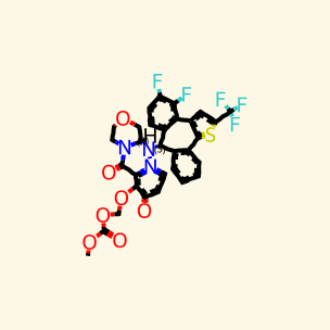 COC(=O)OCOc1c2n(ccc1=O)N([C@@H]1c3ccccc3-c3sc(C(F)(F)F)cc3-c3c1ccc(F)c3F)[C@@H]1COCCN1C2=O